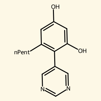 CCCCCc1cc(O)cc(O)c1-c1cncnc1